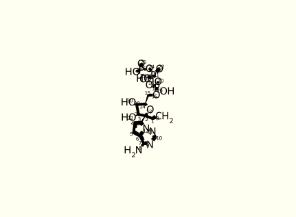 C=C[C@@]1(c2ccc3c(N)ncnn23)O[C@H](COP(=O)(O)OP(=O)(O)OP(=O)(O)O)[C@@H](O)[C@H]1O